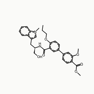 CCCOc1ccc(-c2ccc(C(=O)OC)c(OC)c2)cc1C(=O)N[C@@H](CO)Cc1cn(C)c2ccccc12